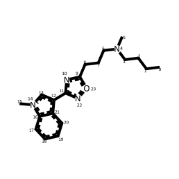 CCCCN(C)CCCc1nc(-c2cn(C)c3ccccc23)no1